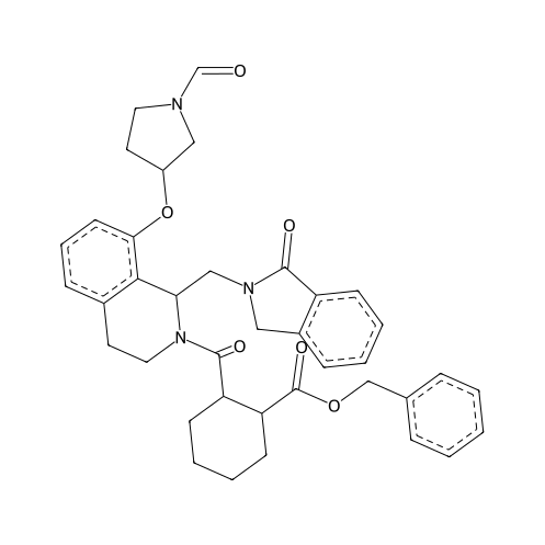 O=CN1CCC(Oc2cccc3c2C(CN2Cc4ccccc4C2=O)N(C(=O)C2CCCCC2C(=O)OCc2ccccc2)CC3)C1